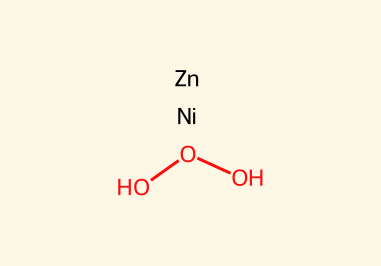 OOO.[Ni].[Zn]